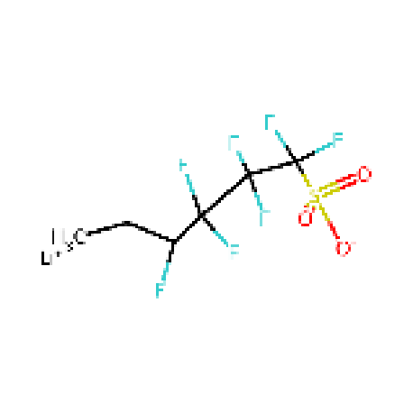 CCC(F)C(F)(F)C(F)(F)C(F)(F)S(=O)(=O)[O-].[Li+]